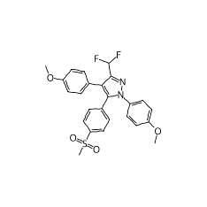 COc1ccc(-c2c(C(F)F)nn(-c3ccc(OC)cc3)c2-c2ccc(S(C)(=O)=O)cc2)cc1